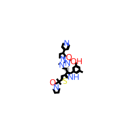 Cc1cc(C)cc(-c2[nH]c3sc(C(C)(C)C(=O)N4CCCC4)cc3c2[C@@H](C)CN(C)C(=NC(=O)O)N2CCC(c3ccncc3)C2)c1